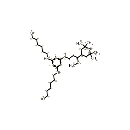 COC(CCNc1nc(NCCCCCCO)nc(NCCCCCCO)n1)C1CC(C)(C)NC(C)(C)C1